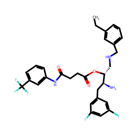 CCc1cccc(CNC[C@@H](OC(=O)CCC(=O)Nc2cccc(C(F)(F)F)c2)[C@@H](N)Cc2cc(F)cc(F)c2)c1